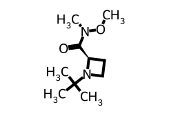 CON(C)C(=O)[C@H]1CCN1C(C)(C)C